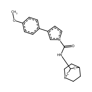 COc1ccc(-c2ccn(C(=O)NC3CC4CCN(CC4)C3)c2)cc1